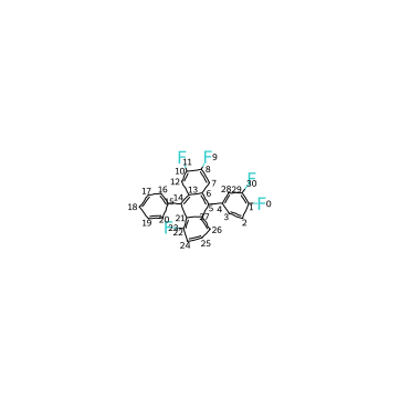 Fc1ccc(-c2c3cc(F)c(F)cc3c(-c3ccccc3)c3c(F)cccc23)cc1F